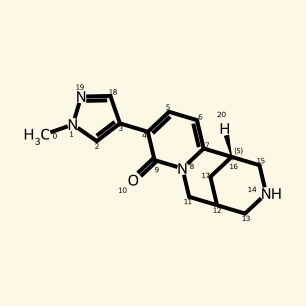 Cn1cc(-c2ccc3n(c2=O)CC2CNC[C@@H]3C2)cn1